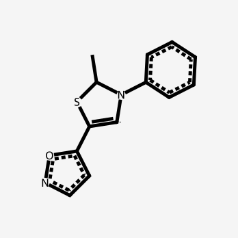 CC1SC(c2ccno2)=[C]N1c1ccccc1